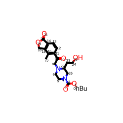 CCCCOC(=O)N1CCN(CC(=O)c2ccc3c(c2C)COC3=O)C(CCO)C1